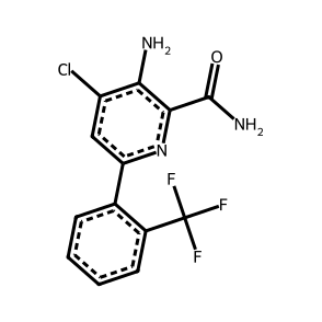 NC(=O)c1nc(-c2ccccc2C(F)(F)F)cc(Cl)c1N